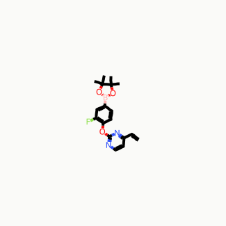 C=Cc1ccnc(Oc2ccc(B3OC(C)(C)C(C)(C)O3)cc2F)n1